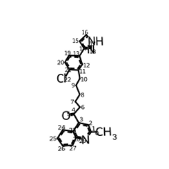 Cc1cc(C(=O)CCCCCc2cc(-c3cc[nH]n3)ccc2Cl)c2ccccc2n1